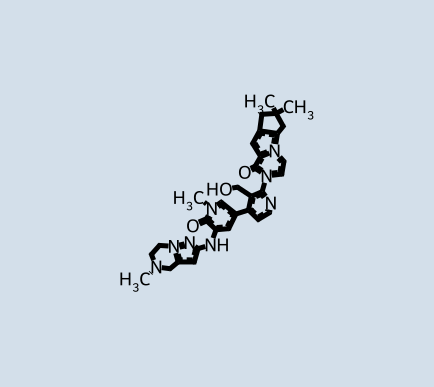 CN1CCn2nc(Nc3cc(-c4ccnc(-n5ccn6c7c(cc6c5=O)CC(C)(C)C7)c4CO)cn(C)c3=O)cc2C1